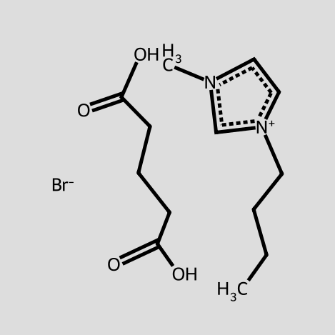 CCCC[n+]1ccn(C)c1.O=C(O)CCCC(=O)O.[Br-]